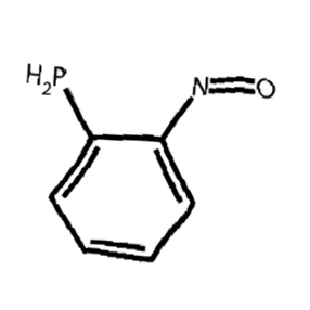 O=Nc1ccccc1P